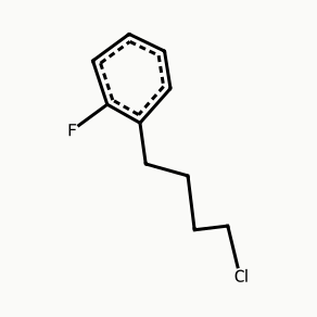 Fc1ccccc1CCCCCl